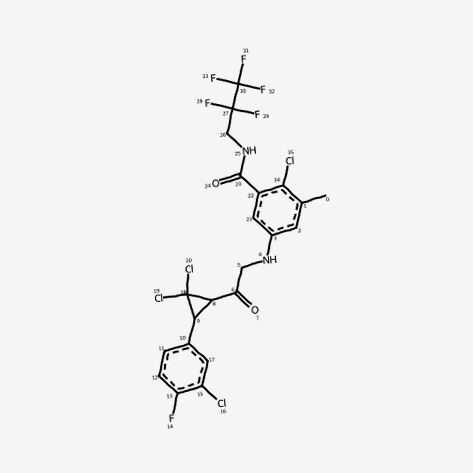 Cc1cc(NCC(=O)C2C(c3ccc(F)c(Cl)c3)C2(Cl)Cl)cc(C(=O)NCC(F)(F)C(F)(F)F)c1Cl